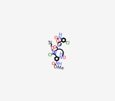 COC(=O)Nc1ccc2c(c1)NC(=O)CCCCC(C(=O)N1CC[C@@]3(C1)OC(=O)Nc1ccc(Cl)cc13)c1nc-2c(Cl)n1COCC[Si](C)(C)C